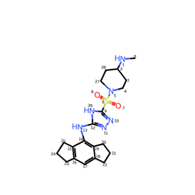 CNC1CCN(S(=O)(=O)c2nnc(Nc3c4c(cc5c3CCC5)CCC4)[nH]2)CC1